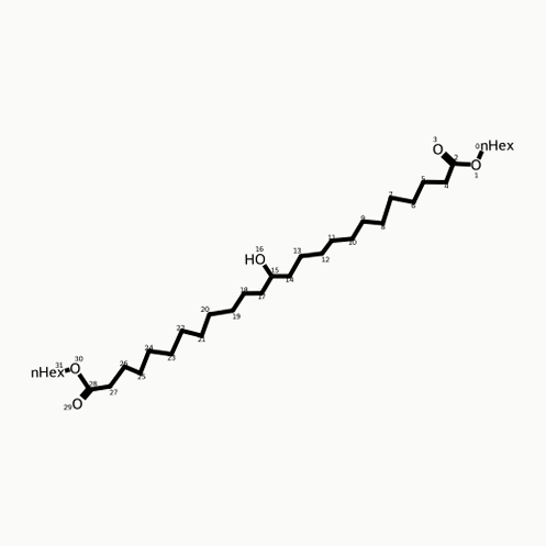 CCCCCCOC(=O)CCCCCCCCCCCC(O)CCCCCCCCCCCC(=O)OCCCCCC